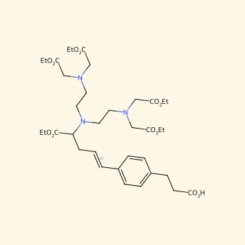 CCOC(=O)CN(CCN(CCN(CC(=O)OCC)CC(=O)OCC)C(C/C=C/c1ccc(CCC(=O)O)cc1)C(=O)OCC)CC(=O)OCC